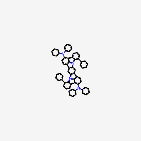 c1ccc(-c2cccc3c4c(N(c5ccccc5)c5ccccc5)ccc5c6cc7c(cc6n(c23)c54)c2ccc(N(c3ccccc3)c3ccccc3)c3c4cccc(-c5ccccc5)c4n7c23)cc1